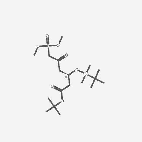 COP(=O)(CC(=O)C[C@H](CC(=O)OC(C)(C)C)O[Si](C)(C)C(C)(C)C)OC